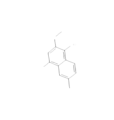 CSc1cc(O)c2cc(C)ccc2c1O